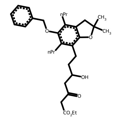 CCCc1c(CCC(O)CC(=O)CC(=O)OCC)c2c(c(CCC)c1OCc1ccccc1)CC(C)(C)O2